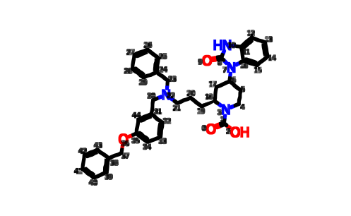 O=C(O)N1CCC(n2c(=O)[nH]c3ccccc32)C[C@@H]1CCCN(Cc1ccccc1)Cc1cccc(OCc2ccccc2)c1